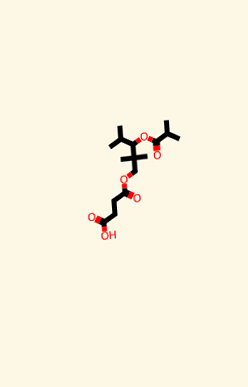 CC(C)C(=O)OC(C(C)C)C(C)(C)COC(=O)CCC(=O)O